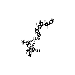 Cc1ncsc1-c1ccc(CNC(=O)[C@@H]2C[C@@H](O)CN2C(=O)[C@@H](NC(=O)C2(F)CC2)C(C)(C)C)c(OCCNC(=O)CN2CC[C@]3(CCN(c4cc(N5CCC6(CC5)CN(c5cc(F)c(CN7CCC(C)(C)CC7)cc5F)CC(=O)N6)ncn4)C3)C2)c1